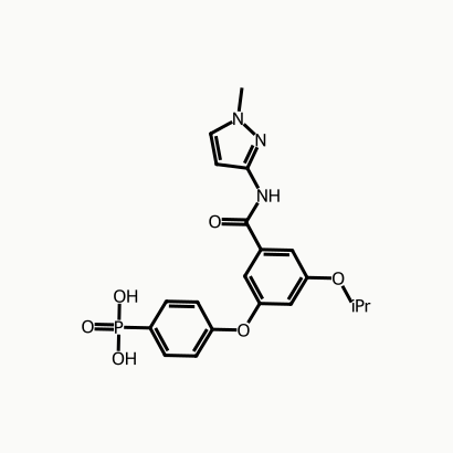 CC(C)Oc1cc(Oc2ccc(P(=O)(O)O)cc2)cc(C(=O)Nc2ccn(C)n2)c1